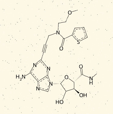 CNC(=O)[C@H]1O[C@@H](n2cnc3c(N)nc(C#CCN(CCOC)C(=O)c4cccs4)nc32)C(O)[C@@H]1O